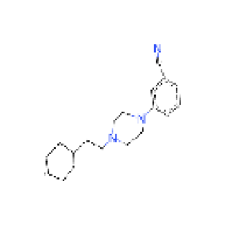 N#Cc1cccc(N2CCN(CCC3CC[CH]CC3)CC2)c1